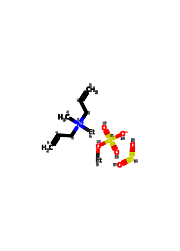 C=CC[N+](C)(CC)CC=C.CCOS(=O)(=O)[O-].O=S=O